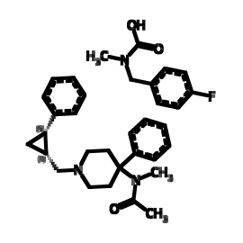 CC(=O)N(C)C1(c2ccccc2)CCN(C[C@@H]2C[C@@H]2c2ccccc2)CC1.CN(Cc1ccc(F)cc1)C(=O)O